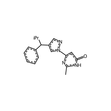 Cc1nc(-n2cc(C(c3ccccc3)C(C)C)cn2)cc(=O)[nH]1